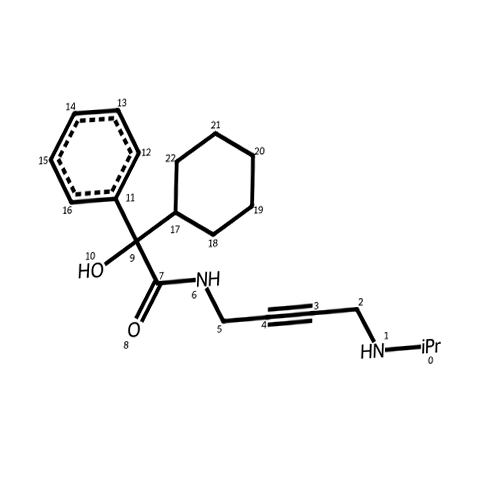 CC(C)NCC#CCNC(=O)C(O)(c1ccccc1)C1CCCCC1